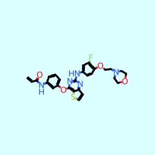 C=CC(=O)Nc1cccc(Oc2nc(Nc3ccc(OCCN4CCOCC4)c(F)c3)nc3ccsc23)c1